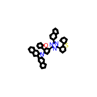 c1ccc2cc(-c3nc(-c4ccc(-n5c6cc7ccccc7cc6c6cc7ccccc7cc65)c5c4oc4ccccc45)nc(-c4cccc5sc6ccccc6c45)n3)ccc2c1